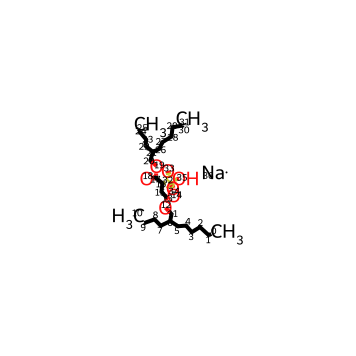 CCCCCCC(CCCC)COC(=O)CC(C(=O)OCC(CCCC)CCCCCC)S(=O)(=O)O.[Na]